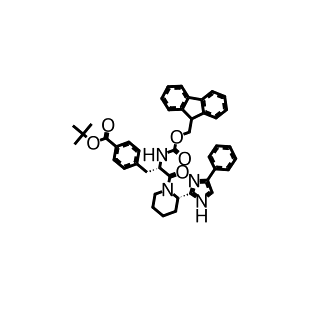 CC(C)(C)OC(=O)c1ccc(C[C@H](NC(=O)OCC2c3ccccc3-c3ccccc32)C(=O)N2CCCC[C@H]2c2nc(-c3ccccc3)c[nH]2)cc1